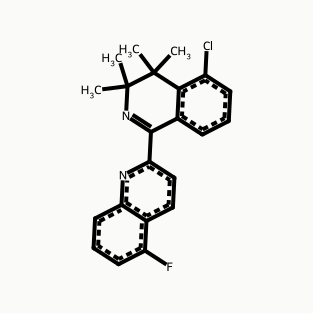 CC1(C)N=C(c2ccc3c(F)cccc3n2)c2cccc(Cl)c2C1(C)C